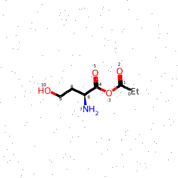 CCC(=O)OC(=O)[C@@H](N)CCO